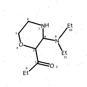 CCC(=O)C1OCCNC1N(CC)CC